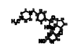 CN1CCN(Cc2ccc(C(=O)NN(c3nc(C#N)ncc3Cl)C3CCCC3)cc2)CC1